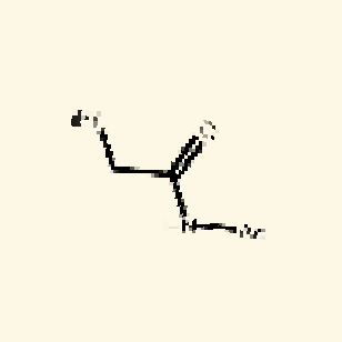 CC(=O)NC(=O)CC(C)C